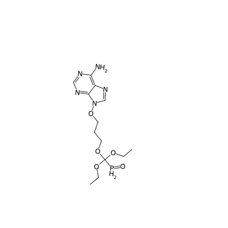 CCOC(OCC)(OCCCOn1cnc2c(N)ncnc21)[PH2]=O